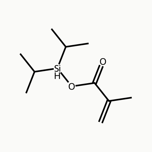 C=C(C)C(=O)O[SiH](C(C)C)C(C)C